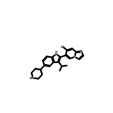 CC(C)c1c(-c2cn3ccnc3cc2Cl)[nH]c2ccc(C3CCNCC3)cc12